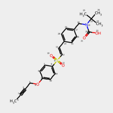 CC#CCOc1ccc(S(=O)(=O)C=Cc2ccc(CN(C(=O)O)C(C)(C)C)cc2)cc1